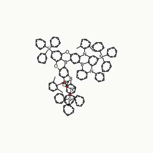 Cc1cccc(C)c1N1c2cc3c(cc2B2c4ccccc4N(c4ccccc4)c4cc([Si](c5ccccc5)(c5ccccc5)c5ccccc5)cc1c42)B1c2cc4c(cc2Oc2cc([Si](c5ccccc5)(c5ccccc5)c5ccccc5)cc(c21)O3)N(c1c(C)cccc1C)c1cc([Si](c2ccccc2)(c2ccccc2)c2ccccc2)cc2c1B4c1ccccc1N2c1ccccc1